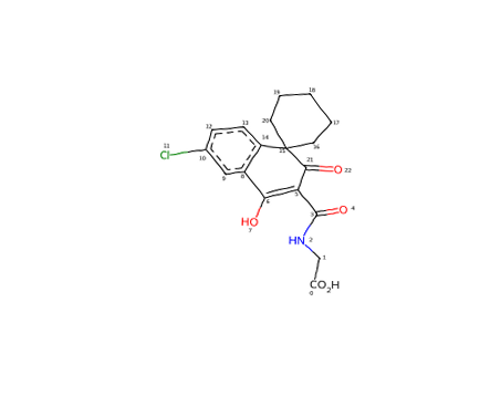 O=C(O)CNC(=O)C1=C(O)c2cc(Cl)ccc2C2(CCCCC2)C1=O